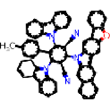 Cc1ccc(-c2c(-n3c4c(c5ccccc53)C=CCC4)c(C#N)c(-n3c4cc5ccccc5cc4c4cc5oc6ccccc6c5cc43)c(C#N)c2-n2c3ccccc3c3ccccc32)cc1